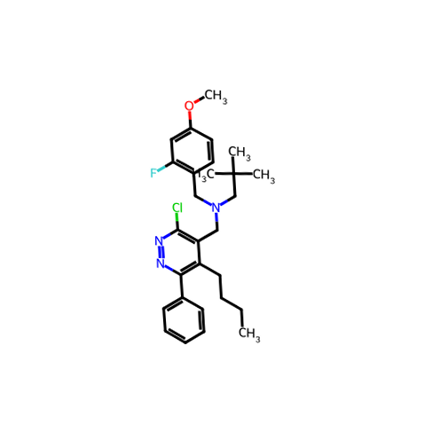 CCCCc1c(-c2ccccc2)nnc(Cl)c1CN(Cc1ccc(OC)cc1F)CC(C)(C)C